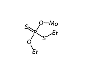 CCOP(=S)([O][Mo])SCC